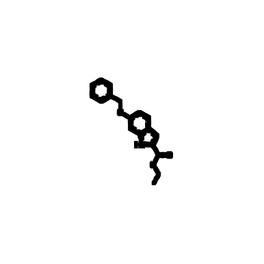 CCOC(=O)c1cc2ccc(OCc3ccccc3)cc2[nH]1